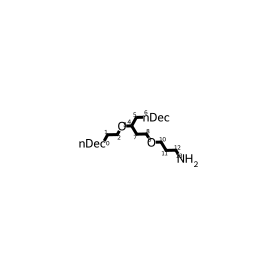 CCCCCCCCCCCCOC(CCCCCCCCCCC)CCOCCCN